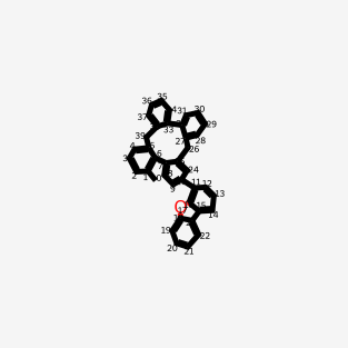 Cc1cccc2c1-c1ccc(-c3cccc4c3oc3ccccc34)cc1Cc1ccccc1-c1ccccc1C2